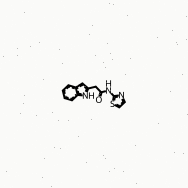 O=C(Cc1cc2ccccc2[nH]1)Nc1nccs1